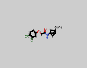 CNC12CCC(NC(=O)COc3ccc(Cl)c(Cl)c3)(C1)C2